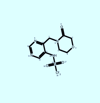 O=C1COCCN1Cc1ncncc1NS(=O)(=O)C(F)(F)F